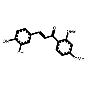 COc1ccc(C(=O)/C=C/c2ccc(N=O)c(O)c2)c(OC)c1